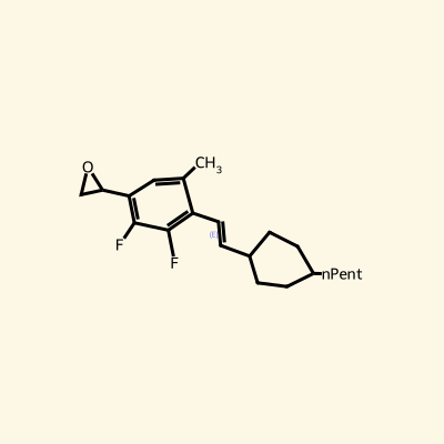 CCCCCC1CCC(/C=C/c2c(C)cc(C3CO3)c(F)c2F)CC1